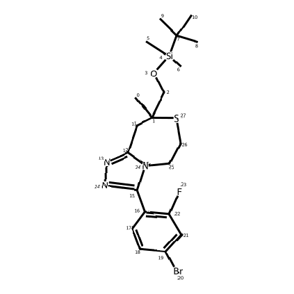 CC1(CO[Si](C)(C)C(C)(C)C)Cc2nnc(-c3ccc(Br)cc3F)n2CCS1